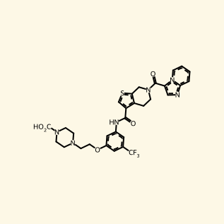 O=C(Nc1cc(OCCN2CCN(C(=O)O)CC2)cc(C(F)(F)F)c1)c1csc2c1CCN(C(=O)c1cnc3ccccn13)C2